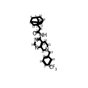 O=C(CC12CC3CC(CC(C3)C1)C2)Nc1ncnc2c1CCN(Cc1cccc(C(F)(F)F)c1)C2